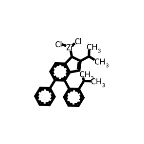 CC(C)C1=Cc2c(ccc(-c3ccccc3)c2-c2ccccc2C(C)C)[CH]1[Zr]([Cl])[Cl]